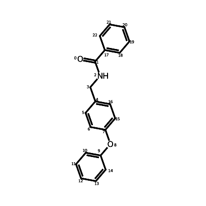 O=C(NCc1ccc(Oc2ccccc2)cc1)c1ccccc1